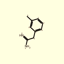 Cc1cccc(CC(=N)N)c1